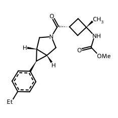 CCc1ccc([C@H]2[C@@H]3CN(C(=O)[C@H]4C[C@@](C)(NC(=O)OC)C4)C[C@@H]32)cc1